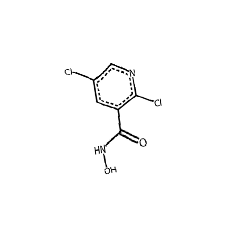 O=C(NO)c1cc(Cl)cnc1Cl